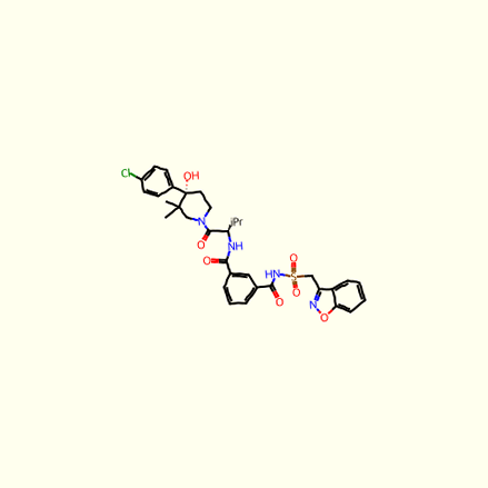 CC(C)[C@@H](NC(=O)c1cccc(C(=O)NS(=O)(=O)Cc2noc3ccccc23)c1)C(=O)N1CC[C@](O)(c2ccc(Cl)cc2)C(C)(C)C1